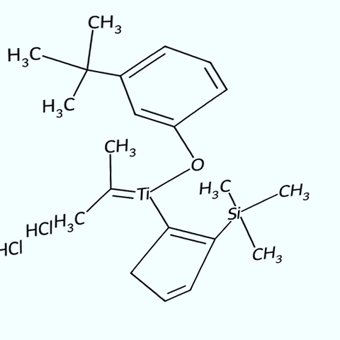 C[C](C)=[Ti]([O]c1cccc(C(C)(C)C)c1)[C]1=C([Si](C)(C)C)C=CC1.Cl.Cl